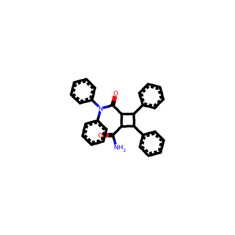 NC(=O)C1C(C(=O)N(c2ccccc2)c2ccccc2)C(c2ccccc2)C1c1ccccc1